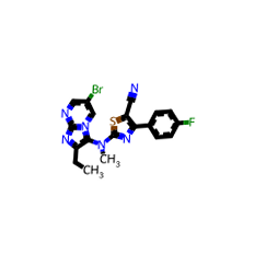 CCc1nc2ncc(Br)cn2c1N(C)c1nc(-c2ccc(F)cc2)c(C#N)s1